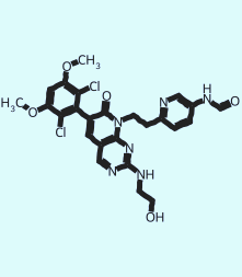 COc1cc(OC)c(Cl)c(-c2cc3cnc(NCCO)nc3n(CCc3ccc(NC=O)cn3)c2=O)c1Cl